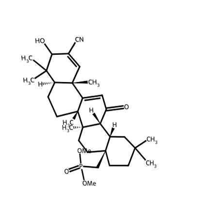 COP(=O)(C[C@]12CCC(C)(C)C[C@H]1[C@H]1C(=O)C=C3[C@@]4(C)C=C(C#N)C(O)C(C)(C)[C@@H]4CC[C@@]3(C)[C@]1(C)CC2)OC